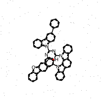 c1ccc(-c2ccc3c(c2)c2ccccc2n3C2=NC(c3ccc4c(c3)oc3ccccc34)NC(n3c4ccccc4c4ccc5c6ccccc6n(-c6ccccc6)c5c43)=N2)cc1